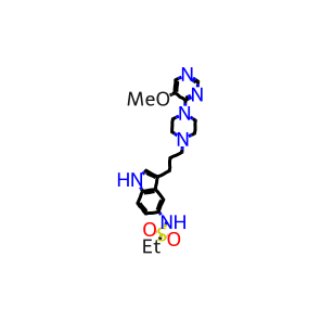 CCS(=O)(=O)Nc1ccc2[nH]cc(CCCN3CCN(c4ncncc4OC)CC3)c2c1